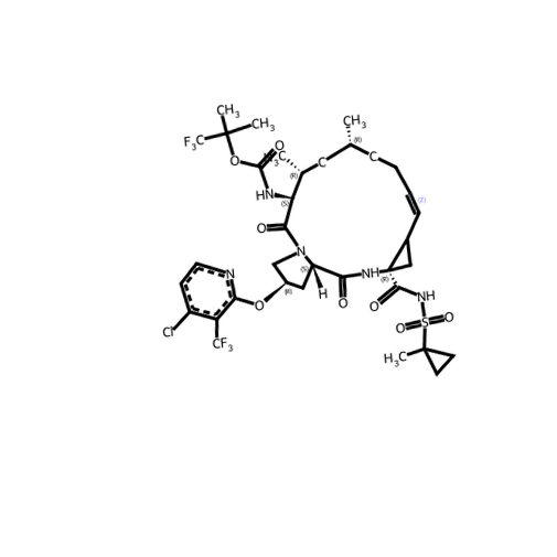 C[C@@H]1CC/C=C\C2C[C@@]2(C(=O)NS(=O)(=O)C2(C)CC2)NC(=O)[C@@H]2C[C@@H](Oc3nccc(Cl)c3C(F)(F)F)CN2C(=O)[C@@H](NC(=O)OC(C)(C)C(F)(F)F)[C@H](C)C1